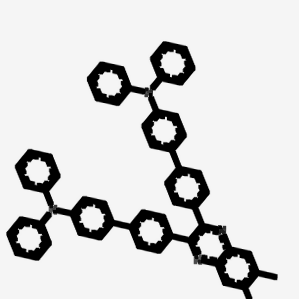 Cc1cc2nc(-c3ccc(-c4ccc(N(c5ccccc5)c5ccccc5)cc4)cc3)c(-c3ccc(-c4ccc(N(c5ccccc5)c5ccccc5)cc4)cc3)nc2cc1C